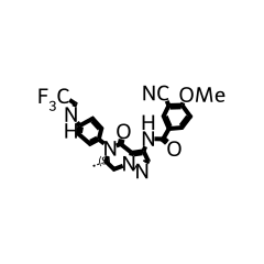 COc1ccc(C(=O)Nc2cnn3c2C(=O)N(c2ccc(NCC(F)(F)F)cc2)[C@@H](C)C3)cc1C#N